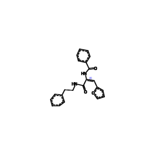 O=C(NCCc1ccccc1)/C(=C\c1ccco1)NC(=O)c1ccccc1